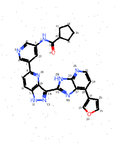 O=C(Nc1cncc(-c2ccc3[nH]nc(-c4nc5c(-c6ccoc6)ccnc5[nH]4)c3n2)c1)C1CCCC1